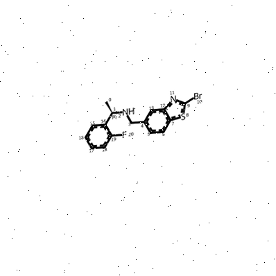 C[C@@H](NCc1ccc2sc(Br)nc2c1)c1ccccc1F